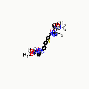 C=C[C@H](NC(=O)OC)C(=O)N(CCC)[C@@H](C)c1ncc(-c2ccc3c(c2)sc2cc(-c4ccc5nc([C@@H]6[C@H]7CC[C@H](C7)N6C(=O)[C@H](C)NC(=O)OC)[nH]c5c4)ccc23)[nH]1